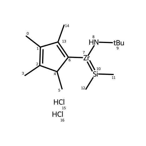 CC1=C(C)C(C)[C]([Zr]([NH]C(C)(C)C)=[Si](C)C)=C1C.Cl.Cl